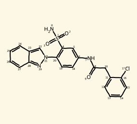 NS(=O)(=O)c1cc(NC(=O)Cc2ccccc2Cl)ccc1-n1cc2ccccc2n1